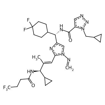 C=Nn1cc([C@@H](NC(=O)c2cnnn2CC2CC2)C2CCC(F)(F)CC2)nc1/C=C(\C)[C@H](NC(=O)CCC(F)(F)F)C1CC1